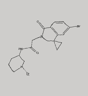 CCN1CCCC(NC(=O)CN2CC3(CC3)c3cc(Br)ccc3C2=O)C1